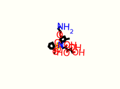 COc1ccccc1S(=O)(=O)N(CC(O)C(O)C(O)CO)c1cc(C)cc(OCCN)c1